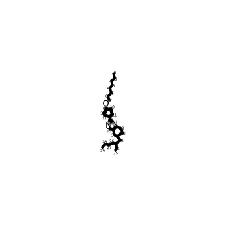 CCCCCCCCOc1ccc(-c2ncc3c(n2)CCC(CC(CC)CCCC)C3)cc1